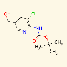 CC(C)(C)OC(=O)Nc1ncc(CO)cc1Cl